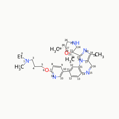 CCN(C)CCCOc1ccc(-c2ccc3ncc4c(C)nc([C@]5(C)CNC[C@@H](C)O5)n4c3c2)cn1